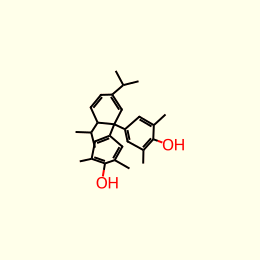 Cc1cc(C2(c3cc(C)c(O)c(C)c3)C=C(C(C)C)C=CC2C(C)C)cc(C)c1O